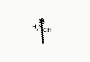 CCCCCCCCCCCCCCCCCC(N)CCCC[Si](OC)(OC)OC.Cl